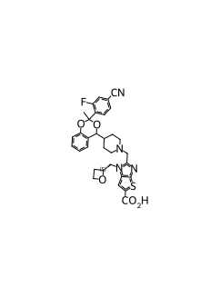 CC1(c2ccc(C#N)cc2F)Oc2ccccc2C(C2CCN(Cc3nc4sc(C(=O)O)cc4n3C[C@@H]3CCO3)CC2)O1